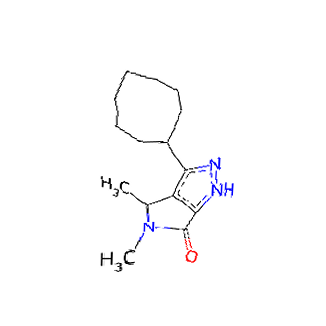 CC1c2c(C3CCCCCCC3)n[nH]c2C(=O)N1C